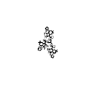 CC1(C)CC(N2CCCC2)=C(C(F)(F)F)/C(=C(\C#N)C(=O)OCC(COC(=O)/C(C#N)=C2\CC(C)(C)CC(N3CCCC3)=C2C(F)(F)F)COC(=O)/C(C#N)=C2\CC(C)(C)CC(N3CCCC3)=C2C(F)(F)F)C1